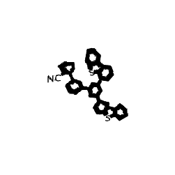 N#Cc1ccccc1-c1cccc(-c2cc(-c3ccc4sc5ccccc5c4c3)cc(-c3cccc4c3sc3ccccc34)c2)c1